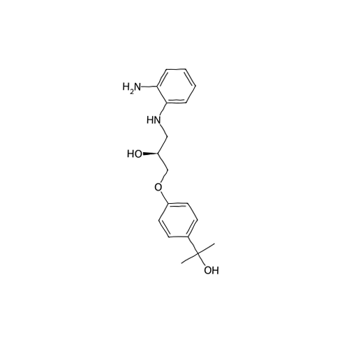 CC(C)(O)c1ccc(OC[C@@H](O)CNc2ccccc2N)cc1